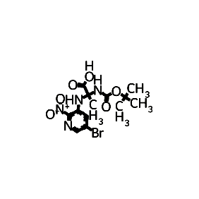 CC(C)(C)OC(=O)NC(C)(Nc1cc(Br)cnc1[N+](=O)[O-])C(=O)O